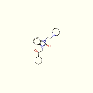 O=C(Cn1c(=O)n(CCN2CCCCC2)c2ccccc21)C1CCCCC1